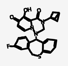 O=C1c2c(O)c(=O)ccn2N([C@H]2c3ccc(F)cc3CSc3ccccc32)CN1C12CC(C1)C2